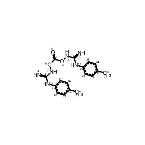 N=C(NOC(=O)ONC(=N)Nc1ccc(C(F)(F)F)cc1)Nc1ccc(C(F)(F)F)cc1